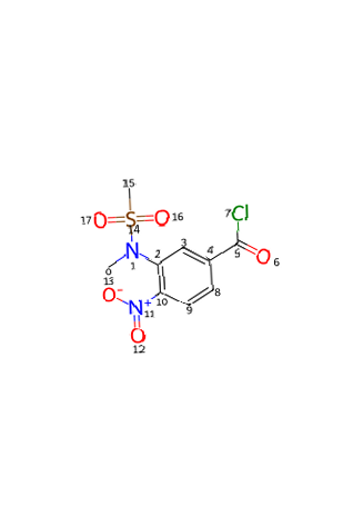 CN(c1cc(C(=O)Cl)ccc1[N+](=O)[O-])S(C)(=O)=O